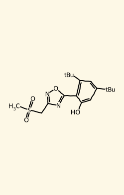 CC(C)(C)c1cc(O)c(-c2nc(CS(C)(=O)=O)no2)c(C(C)(C)C)c1